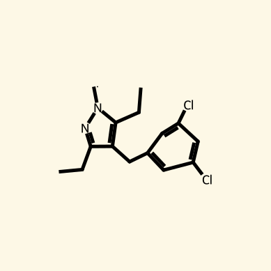 [CH2]n1nc(CC)c(Cc2cc(Cl)cc(Cl)c2)c1CC